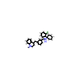 CN1CCC(Cc2cccc(CNC3(c4ccccc4F)CCCCC3)c2)c2ccccc21